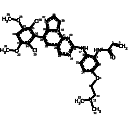 C=CC(=O)Nc1cc(OCCN(C)C)ccc1Nc1ncc2cc(-c3c(Cl)c(OC)cc(OC)c3Cl)c3nccn3c2n1